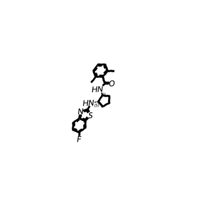 Cc1cccc(C)c1C(=O)N[C@@H]1CCC[C@@H]1Nc1nc2ccc(F)cc2s1